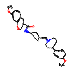 COc1ccc(C2CCN(C[C@H]3CC[C@@H](NC(=O)C4=Cc5ccc(OC)cc5OC4)C3)CC2)cc1